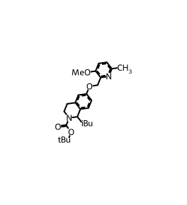 CCC(C)C1c2ccc(OCc3nc(C)ccc3OC)cc2CCN1C(=O)OC(C)(C)C